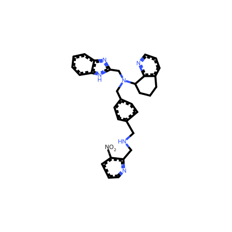 O=[N+]([O-])c1cccnc1CNCc1ccc(CN(Cc2nc3ccccc3[nH]2)C2CCCc3cccnc32)cc1